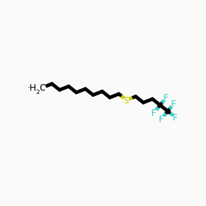 [CH2]CCCCCCCCCSCCCC(F)(F)C(F)(F)F